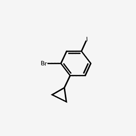 Brc1cc(I)ccc1C1CC1